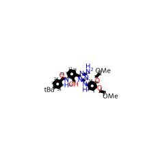 COCCOc1ccc(Nc2nc(N)nc(-c3cccc(NC(=O)c4ccc(C(C)(C)C)cc4)c3CO)n2)cc1OCCOC